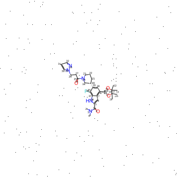 CN(C)C(=O)c1cc2c(B3OC(C)(C)C(C)(C)O3)cc([C@H]3CCCN(C(=O)CCn4cccn4)C3)c(F)c2[nH]1